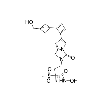 C[C@@](CCN1Cc2cc(C3=CC=C3C34CC(CO)(C3)C4)cn2C1=O)(C(=O)NO)S(C)(=O)=O